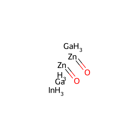 [GaH3].[GaH3].[InH3].[O]=[Zn].[O]=[Zn]